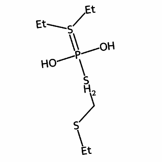 CCSC[SH2]P(O)(O)=S(CC)CC